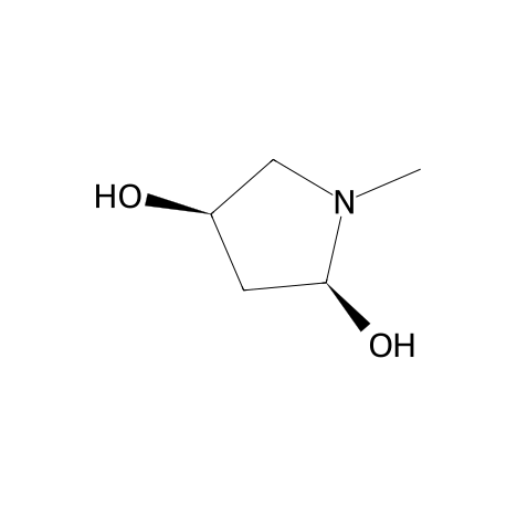 CN1C[C@H](O)C[C@@H]1O